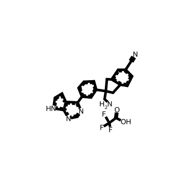 N#Cc1ccc2c(c1)CC(CN)(c1cccc(-c3ncnc4[nH]ccc34)c1)C2.O=C(O)C(F)(F)F